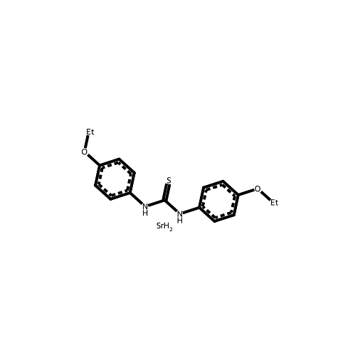 CCOc1ccc(NC(=S)Nc2ccc(OCC)cc2)cc1.[SrH2]